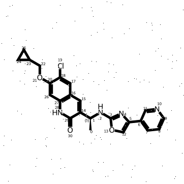 C[C@H](Nc1nc(-c2cccnc2)co1)c1cc2cc(Cl)c(OCC3CC3)cc2[nH]c1=O